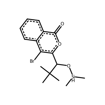 C[SiH](C)OC(c1oc(=O)c2ccccc2c1Br)C(C)(C)C